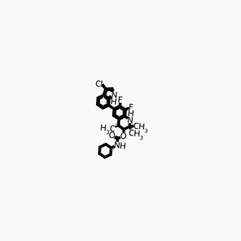 C[C@H]1c2cc(-c3cccc4c(Cl)c[nH]c34)c(F)c(F)c2NC(C)(C)C1OC(=O)NC1CCCCC1